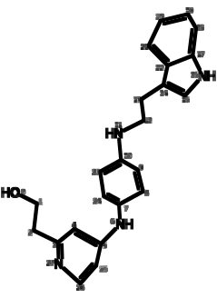 OCCc1cc(Nc2ccc(NCCc3c[nH]c4ccccc34)cc2)ccn1